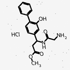 COC(=O)CC(NC(=O)CN)c1ccc(-c2ccccc2)c(O)c1.Cl